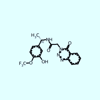 C[C@H](NC(=O)Cn1nnc2ccccc2c1=O)c1ccc(OC(F)(F)F)c(O)c1